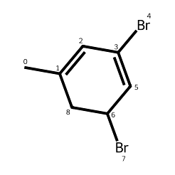 CC1=CC(Br)=CC(Br)C1